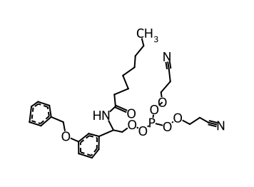 CCCCCCCC(=O)NC(COOP(OOCCC#N)OOCCC#N)c1cccc(OCc2ccccc2)c1